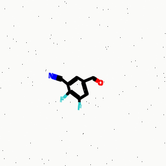 N#Cc1cc(C=O)cc(F)c1F